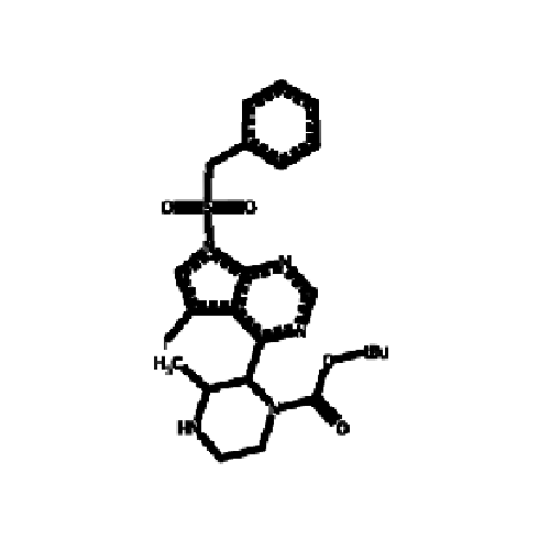 CC1NCCN(C(=O)OC(C)(C)C)C1c1ncnc2c1c(I)cn2S(=O)(=O)Cc1ccccc1